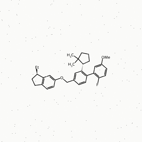 CC[C@@H]1CCc2ccc(OCc3ccc(-c4cc(OC)ccc4F)c([C@H]4CCCC4(C)C)c3)cc21